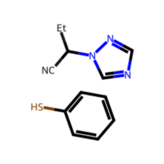 CCC(C#N)n1cncn1.Sc1ccccc1